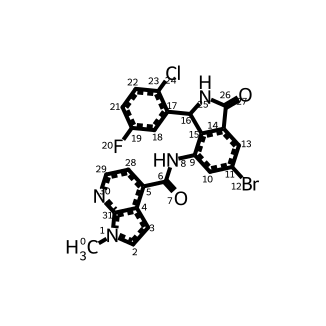 Cn1ccc2c(C(=O)Nc3cc(Br)cc4c3C(c3cc(F)ccc3Cl)NC4=O)ccnc21